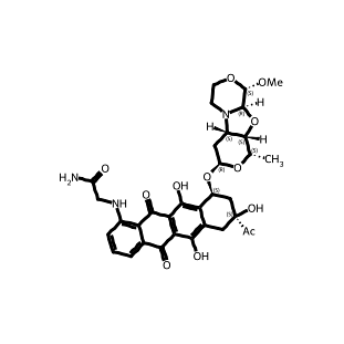 CO[C@H]1OCCN2[C@@H]1O[C@@H]1[C@H](C)O[C@@H](O[C@H]3C[C@](O)(C(C)=O)Cc4c(O)c5c(c(O)c43)C(=O)c3c(NCC(N)=O)cccc3C5=O)C[C@@H]12